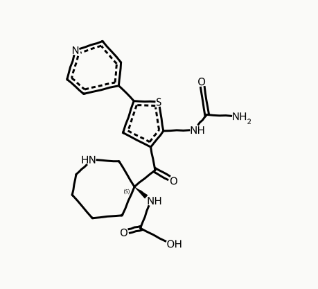 NC(=O)Nc1sc(-c2ccncc2)cc1C(=O)[C@]1(NC(=O)O)CCCCNC1